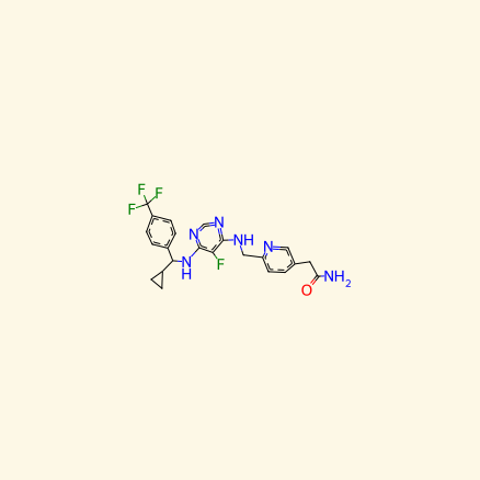 NC(=O)Cc1ccc(CNc2ncnc(NC(c3ccc(C(F)(F)F)cc3)C3CC3)c2F)nc1